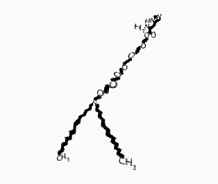 CCCCCCCCCCCCCCCCN(CCCCCCCCCCCCCCCC)CCOCCOCCOCCOCCOCCOCCOC(=O)C(N)Cc1cnc[nH]1